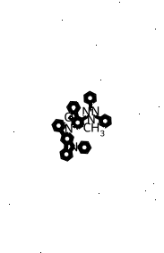 Cc1cc(-n2c3ccccc3c3cc4c5ccccc5n(-c5ccccc5)c4cc32)c2oc3ccccc3c2c1-c1nc(-c2ccccc2)nc(-c2ccccc2)n1